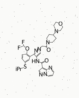 CC(C)Sc1ccc(OC(F)F)c(-c2nn(CC(=O)N3CCC(N4CCOCC4)CC3)cc2NC(=O)c2cnn3cccnc23)c1